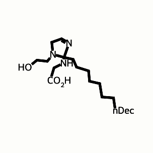 CCCCCCCCCCCCCCCCCC1(NCC(=O)O)N=CCN1CCO